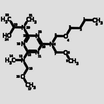 CCCCOCN(COC)c1nc(N(C)COC)nc(N(C)C(C)O)n1